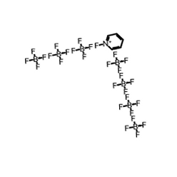 F[B-](F)(F)F.F[B-](F)(F)F.F[B-](F)(F)F.F[B-](F)(F)F.F[B-](F)(F)F.F[B-](F)(F)F.F[B-](F)(F)F.F[n+]1ccccc1